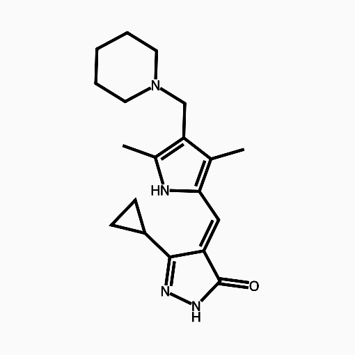 Cc1[nH]c(C=C2C(=O)NN=C2C2CC2)c(C)c1CN1CCCCC1